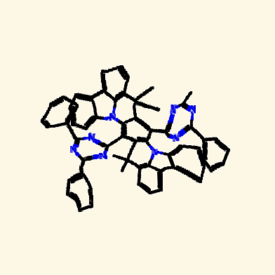 Cc1nc(-c2ccccc2)nc(-c2c3c(c(-c4nc(-c5ccccc5)nc(-c5ccccc5)n4)c4c2C(C)(C)c2cccc5c6ccccc6n-4c25)C(C)(C)c2cccc4c5ccccc5n-3c24)n1